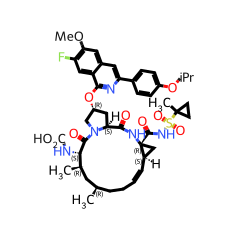 COc1cc2cc(-c3ccc(OC(C)C)cc3)nc(O[C@@H]3C[C@H]4C(=O)N[C@]5(C(=O)NS(=O)(=O)C6(C)CC6)C[C@H]5C=CCC[C@@H](C)C[C@@H](C)[C@H](NC(=O)O)C(=O)N4C3)c2cc1F